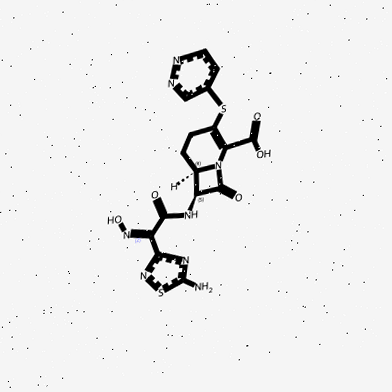 Nc1nc(/C(=N/O)C(=O)N[C@@H]2C(=O)N3C(C(=O)O)=C(Sc4ccnnc4)CC[C@H]23)ns1